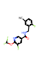 N#Cc1ccc(F)c(CNC(=O)c2cnc(OC(F)F)c(F)c2)c1